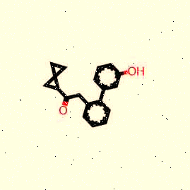 O=C(Cc1ccccc1-c1cccc(O)c1)C1CC12CC2